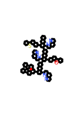 c1ccc(C2(c3ccccc3)c3ccccc3-c3ccc4cc(-c5ccc(-c6ccc7ccc8cccnc8c7n6)c6cc7cc(-c8cc(-c9ccc%10c(ccc%11c%12ccccc%12oc%10%11)c9)c9cc%10ccc(-c%11cc(-c%12ccc%13c(ccc%14c%15ccccc%15sc%13%14)c%12)c%12cc%13ccccc%13cc%12c%11-c%11ccc%12ccc%13cccnc%13c%12n%11)cc%10cc9c8-c8ccc9ccc%10cccnc%10c9n8)ccc7cc56)ccc4c32)cc1